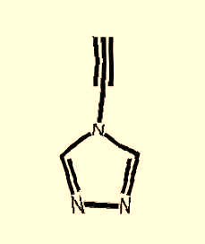 C#Cn1cnnc1